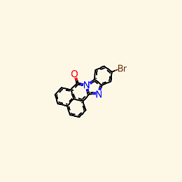 O=c1c2cccc3cccc(c32)c2nc3cc(Br)ccc3n12